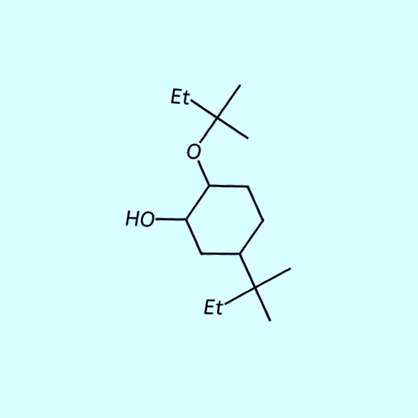 CCC(C)(C)OC1CCC(C(C)(C)CC)CC1O